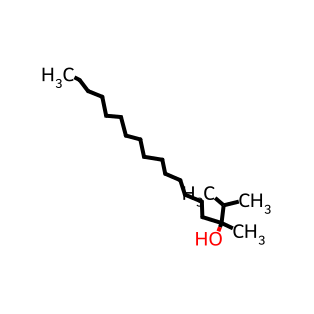 CCCCCCCCCCCCCCCC(C)(O)C(C)C